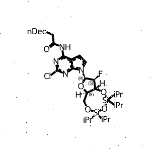 CCCCCCCCCCCC(=O)Nc1nc(Cl)nc2c1ccn2[C@@H]1O[C@@H]2CO[Si](C(C)C)(C(C)C)O[Si](C(C)C)(C(C)C)O[C@H]2[C@@H]1F